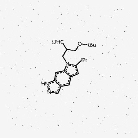 CC(C)c1cc2cc3cn[nH]c3cc2n1CC(C=O)COC(C)(C)C